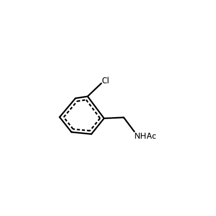 [CH2]C(=O)NCc1ccccc1Cl